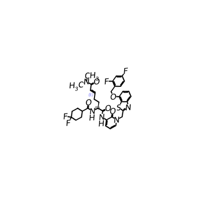 CN(C)C(=O)/C=C/CC[C@H](NC(=O)C1CCC(F)(F)CC1)C(=O)Nc1cccn(Cc2nc3cccc(OCc4ccc(F)cc4F)c3s2)c1=O